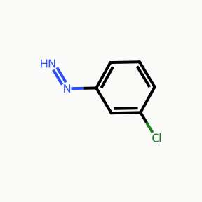 N=Nc1cccc(Cl)c1